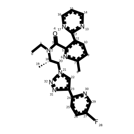 CCN(C(=O)c1nc(C)ccc1-c1ncccn1)[C@@H](C)Cn1cc(-c2ccc(F)cn2)nn1